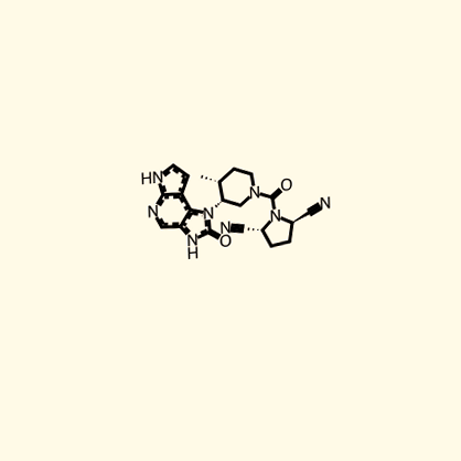 C[C@@H]1CCN(C(=O)N2[C@@H](C#N)CC[C@@H]2C#N)C[C@@H]1n1c(=O)[nH]c2cnc3[nH]ccc3c21